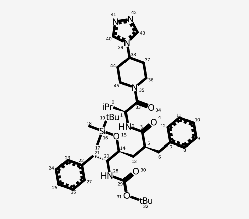 CC(C)[C@H](NC(=O)[C@@H](Cc1ccccc1)C[C@H](O[Si](C)(C)C(C)(C)C)[C@@H](Cc1ccccc1)NC(=O)OC(C)(C)C)C(=O)N1CCC(n2cnnc2)CC1